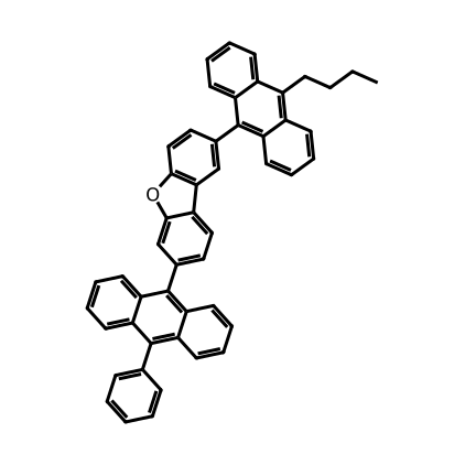 CCCCc1c2ccccc2c(-c2ccc3oc4cc(-c5c6ccccc6c(-c6ccccc6)c6ccccc56)ccc4c3c2)c2ccccc12